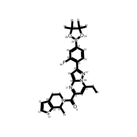 CCc1cc(C(=O)N2CCc3ccsc3C2C)nc2cc(-c3ccc(B4OC(C)(C)C(C)(C)O4)cc3F)nn12